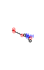 CC(=O)OCCCCCCCOc1ccc2c(c1)CN1C(=N2)NC(=O)C1Cc1ccccc1